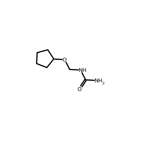 NC(=O)NCOC1CCCC1